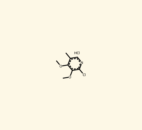 COc1c(C)cnc(Cl)c1OC.Cl